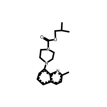 Cc1ccc2cccc(N3CCN(C(=O)OCC(C)C)CC3)c2n1